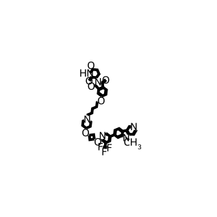 Cn1c2ccncc2c2ccc(-c3cnc(OC4CC(OC5CCN(CCCCCOc6ccc7c(c6)C(=O)N(C6CCC(=O)NC6=O)C7=O)CC5)C4)c(C(F)(F)F)c3)cc21